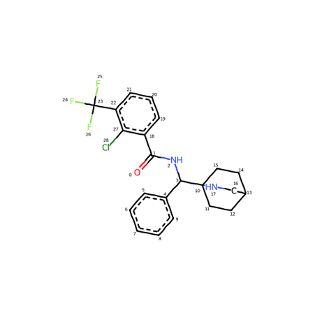 O=C(NC(c1ccccc1)C12CCC(CC1)CN2)c1cccc(C(F)(F)F)c1Cl